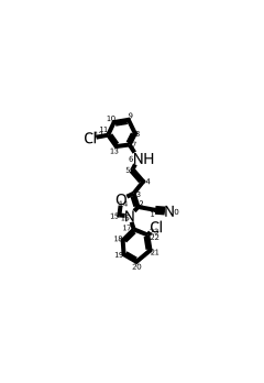 N#CC1=C(C=CNc2cccc(Cl)c2)OCN1c1ccccc1Cl